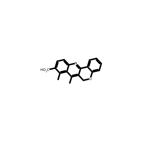 Cc1c(C(=O)O)ccc2nc3c(c(C)c12)COc1ccccc1-3